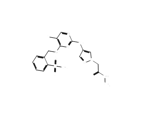 CNC(=O)Cn1cc(Nc2ncc(Cl)c(NCc3ccccc3S(C)(=O)=O)n2)cn1